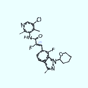 Cc1ncc(Cl)c(C)c1NC(=O)/C(F)=C/c1ccc2c(C)nn(C3CCCCO3)c2c1F